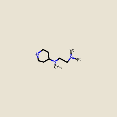 CCN(CC)CCN(C)C1CC[N]CC1